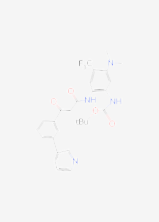 CN(C)c1cc(NC(=O)OC(C)(C)C)c(NC(=O)CC(=O)c2cccc(-c3cccnc3)c2)cc1C(F)(F)F